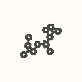 c1ccc(-c2ccc3c(c2)c2c(-c4cccc(-c5nc(-c6ccccc6)nc(-c6ccc(-n7c8ccccc8c8ccccc87)c(-c7ccccc7)c6)n5)c4)cccc2n3-c2ccccc2)cc1